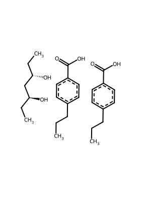 CCCc1ccc(C(=O)O)cc1.CCCc1ccc(C(=O)O)cc1.CC[C@H](O)C[C@@H](O)CC